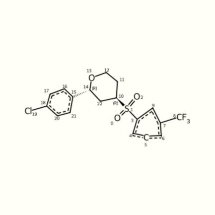 O=S(=O)(c1cccc(C(F)(F)F)c1)[C@@H]1CCO[C@@H](c2ccc(Cl)cc2)C1